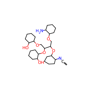 C=C=NC1CCCCC1OC(COC1CCCCC1N)C(COC1CCCCC1O)OC1CCCCC1O